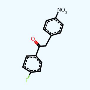 O=C(Cc1ccc([N+](=O)[O-])cc1)c1ccc(F)cc1